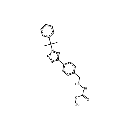 CC(C)(C)OC(=O)NNCc1ccc(-c2nnn(C(C)(C)c3ccccc3)n2)cc1